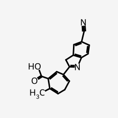 CC1=CCC=C(C2=Nc3ccc(C#N)cc3C2)C=C1C(=O)O